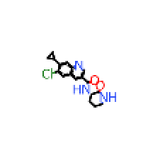 O=C(N[C@H]1CCCNC1=O)c1cnc2cc(C3CC3)c(Cl)cc2c1